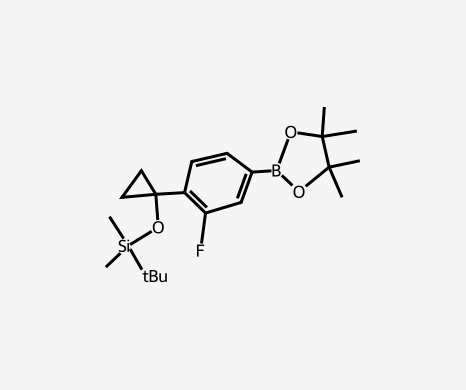 CC1(C)OB(c2ccc(C3(O[Si](C)(C)C(C)(C)C)CC3)c(F)c2)OC1(C)C